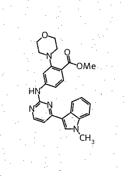 COC(=O)c1ccc(Nc2nccc(-c3cn(C)c4ccccc34)n2)cc1N1CCOCC1